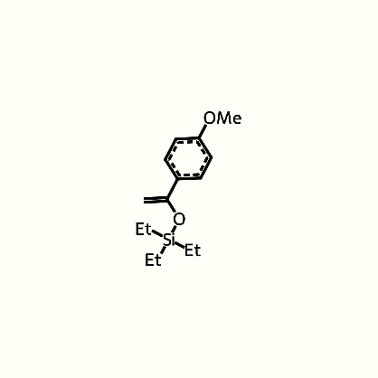 C=C(O[Si](CC)(CC)CC)c1ccc(OC)cc1